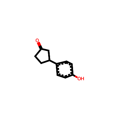 O=C1CCC(c2ccc(O)cc2)C1